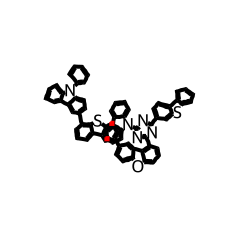 c1ccc(-n2c3ccccc3c3cc(-c4cccc5c4sc4ccc(-c6ccc7oc8cccc(-c9nc(-c%10ccc%11c(c%10)sc%10ccccc%10%11)nc(-n%10c%11ccccc%11c%11ccccc%11%10)n9)c8c7c6)cc45)ccc32)cc1